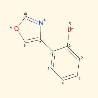 Brc1ccccc1-c1cocn1